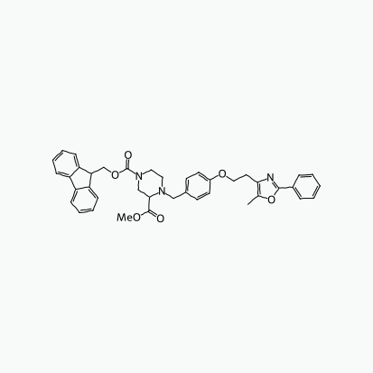 COC(=O)C1CN(C(=O)OCC2c3ccccc3-c3ccccc32)CCN1Cc1ccc(OCCc2nc(-c3ccccc3)oc2C)cc1